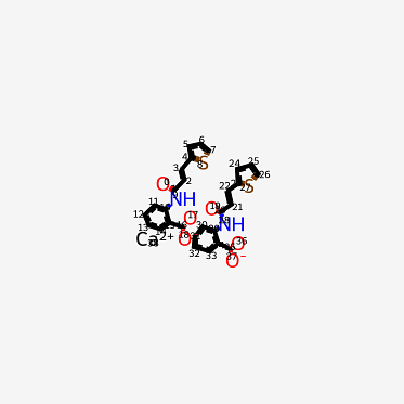 O=C(C=Cc1cccs1)Nc1ccccc1C(=O)[O-].O=C(C=Cc1cccs1)Nc1ccccc1C(=O)[O-].[Ca+2]